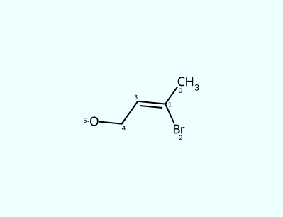 CC(Br)=CC[O]